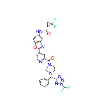 O=C(Nc1ccc2oc(-c3ccnc(C(=O)N4CCN(C(c5ccccc5)c5nnn(C(F)F)n5)CC4)c3)nc2c1)[C@@H]1CC1(F)F